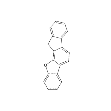 c1ccc2c(c1)Cc1c-2ccc2c1oc1ccccc12